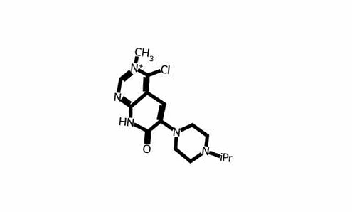 CC(C)N1CCN(c2cc3c(Cl)[n+](C)cnc3[nH]c2=O)CC1